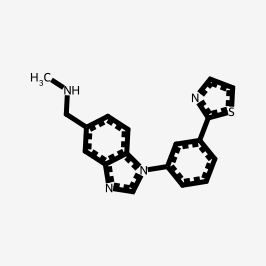 CNCc1ccc2c(c1)ncn2-c1cccc(-c2nccs2)c1